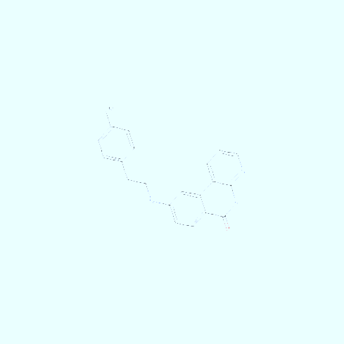 COc1ccc(CCNc2ccc3c(=O)[nH]c4ncccc4c3c2)cc1